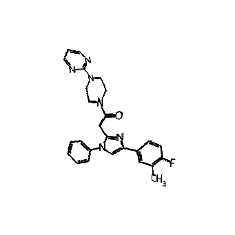 Cc1cc(-c2cn(-c3ccccc3)c(CC(=O)N3CCN(c4ncccn4)CC3)n2)ccc1F